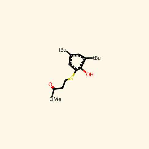 COC(=O)CCSc1cc(C(C)(C)C)cc(C(C)(C)C)c1O